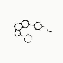 CCOc1ccc(-c2ccc3ncc4[nH]nc(N5CCOCC5)c4c3c2)cn1